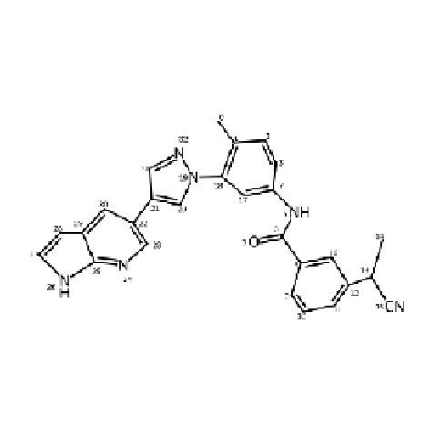 Cc1ccc(NC(=O)c2cccc(C(C)C#N)c2)cc1-n1cc(-c2cnc3[nH]ccc3c2)cn1